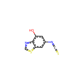 Oc1cc(N=C=S)cc2scnc12